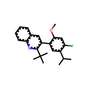 COc1cc(F)c(C(C)C)cc1-c1cc2ccccc2nc1C(C)(C)C